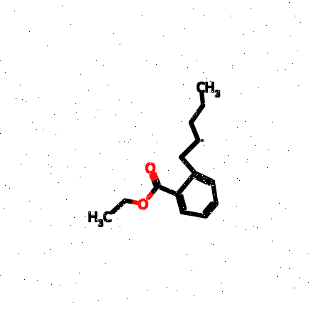 CCC[CH]Cc1ccccc1C(=O)OCC